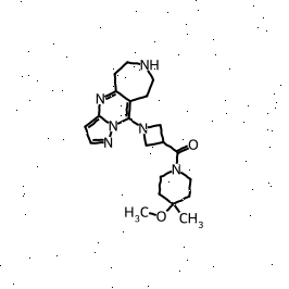 COC1(C)CCN(C(=O)C2CN(c3c4c(nc5ccnn35)CCNCC4)C2)CC1